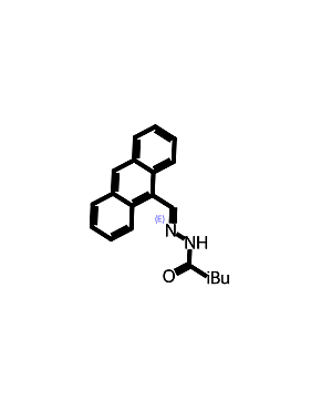 CCC(C)C(=O)N/N=C/c1c2ccccc2cc2ccccc12